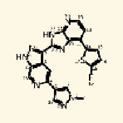 Cn1cc(-c2cc3c(-c4nc5c(-c6ccc(F)s6)ccnc5[nH]4)n[nH]c3cn2)cn1